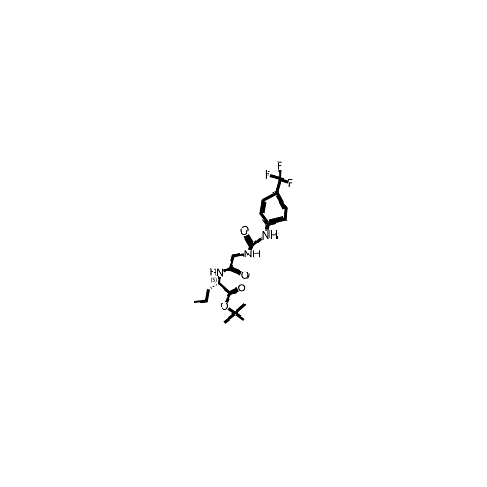 CCC[C@H](NC(=O)CNC(=O)Nc1ccc(C(F)(F)F)cc1)C(=O)OC(C)(C)C